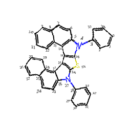 c1ccc(-n2c3ccc4ccccc4c3c3c4c5c6ccccc6ccc5n(-c5ccccc5)c4sc32)cc1